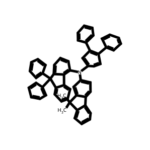 CC1(C)c2ccccc2-c2ccc(N(c3ccc(-c4ccccc4)c(-c4ccccc4)c3)c3cccc4c3-c3ccccc3C4(c3ccccc3)c3ccccc3)cc21